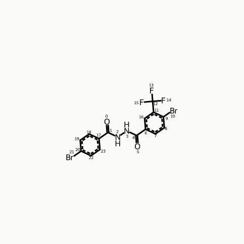 O=C(NNC(=O)c1ccc(Br)c(C(F)(F)F)c1)c1ccc(Br)cc1